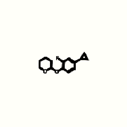 Fc1cc(C2CC2)ccc1OC1CCCCO1